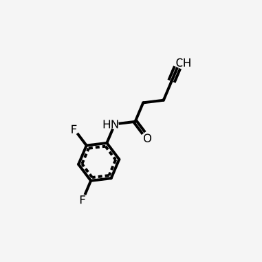 C#CCCC(=O)Nc1ccc(F)cc1F